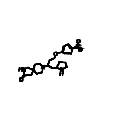 O=C1CC2(CCN(C(CCOc3ccc([N+](=O)[O-])cc3)CC3CCCN3)CC2)CN1